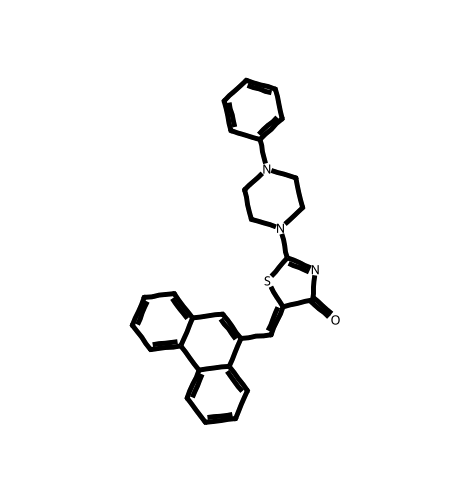 O=C1N=C(N2CCN(c3ccccc3)CC2)S/C1=C\c1cc2ccccc2c2ccccc12